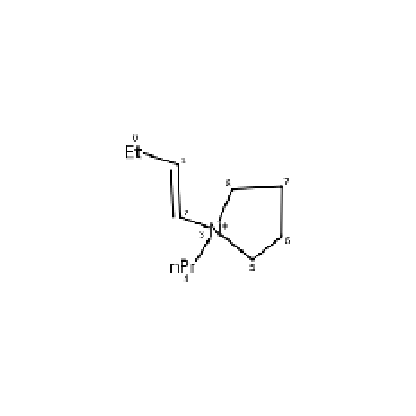 CCC=C[N+]1(CCC)CCCC1